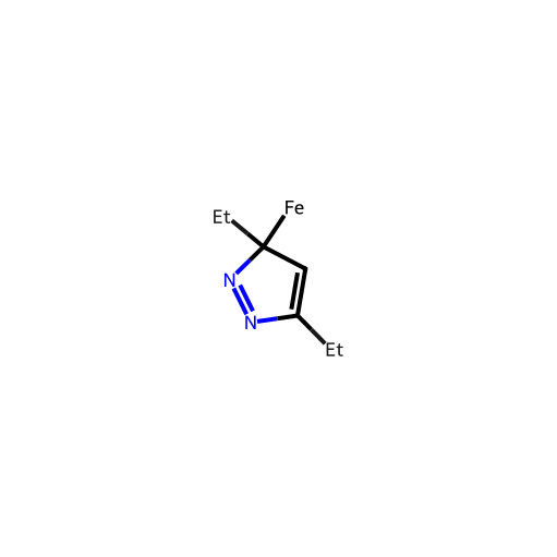 CCC1=C[C]([Fe])(CC)N=N1